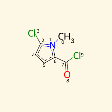 Cn1c(Cl)ccc1C(=O)Cl